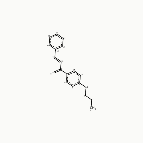 CCCCc1ccc(C(=S)C=Cc2ccccc2)cc1